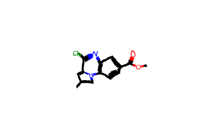 COC(=O)c1ccc2c(c1)nc(Cl)c1cc(C)cn12